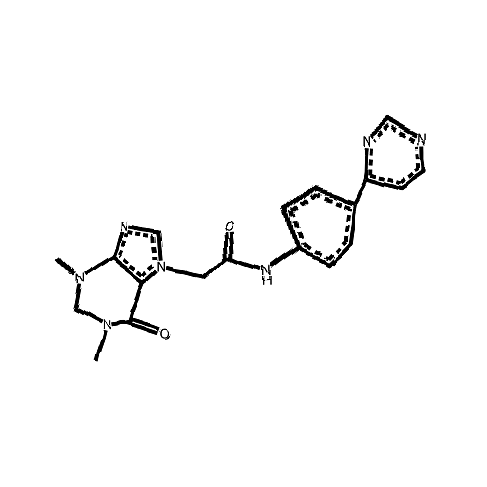 CN1CN(C)c2ncn(CC(=O)Nc3ccc(-c4ccncn4)cc3)c2C1=O